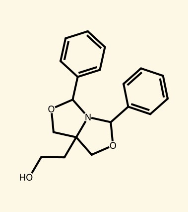 OCCC12COC(c3ccccc3)N1C(c1ccccc1)OC2